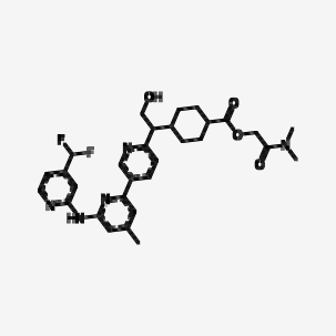 Cc1cc(Nc2cc(C(F)F)ccn2)nc(-c2ccc(C(CO)C3CCC(C(=O)OCC(=O)N(C)C)CC3)nc2)c1